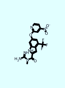 CN(C(=N)N)C(=O)c1cc2c(C(F)(F)F)cc(Oc3cc([N+](=O)[O-])ccn3)cc2[nH]1